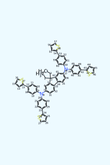 CCC1(CC)c2cc(N(c3ccc(-c4cccs4)cc3)c3ccc(-c4cccs4)cc3)ccc2-c2ccc(N(c3ccc(-c4cccs4)cc3)c3ccc(-c4cccs4)cc3)cc21